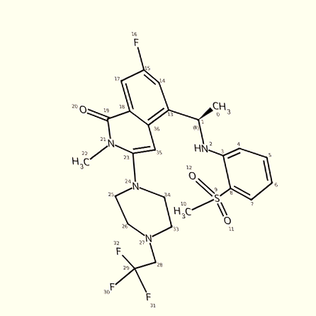 C[C@@H](Nc1ccccc1S(C)(=O)=O)c1cc(F)cc2c(=O)n(C)c(N3CCN(CC(F)(F)F)CC3)cc12